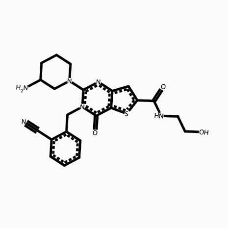 N#Cc1ccccc1Cn1c(N2CCCC(N)C2)nc2cc(C(=O)NCCO)sc2c1=O